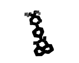 CC1(C)COB(c2ccc(B3Nc4cccc5cccc(c45)N3)cc2)OC1